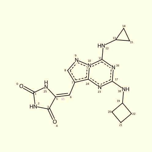 O=C1NC(=O)/C(=C/c2cnn3c(NC4CC4)nc(NC4CCC4)nc23)N1